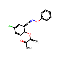 C=C(OC1C=CC(Cl)=CC1=C=NOc1ccccc1)C(=O)OC